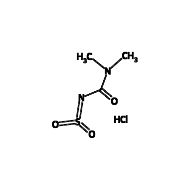 CN(C)C(=O)N=S(=O)=O.Cl